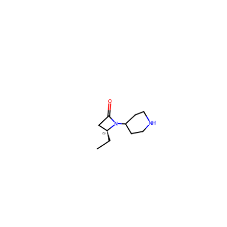 CC[C@H]1CC(=O)N1C1CCNCC1